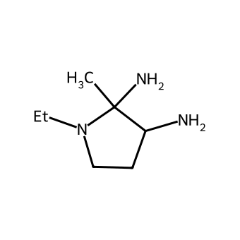 CCN1CCC(N)C1(C)N